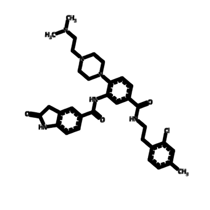 Cc1ccc(CCNC(=O)c2ccc(N3CCN(CCN(C)C)CC3)c(NC(=O)c3ccc4c(c3)CC(=O)N4)c2)c(Cl)c1